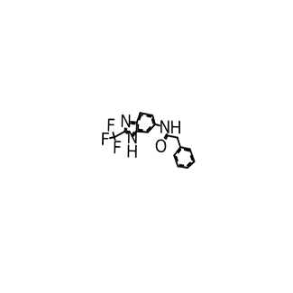 O=C(Cc1ccccc1)Nc1ccc2nc(C(F)(F)F)[nH]c2c1